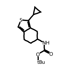 CC(C)(C)OC(=O)NC1CCc2csc(C3CC3)c2C1